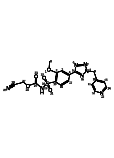 COc1cc(-c2nnn(Cc3ccncc3)n2)ccc1S(=O)(=O)NC(=O)OCC#N